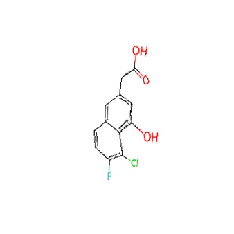 O=C(O)Cc1cc(O)c2c(Cl)c(F)ccc2c1